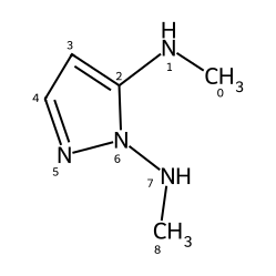 CNc1ccnn1NC